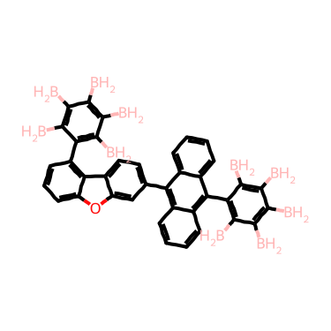 Bc1c(B)c(B)c(-c2c3ccccc3c(-c3ccc4c(c3)oc3cccc(-c5c(B)c(B)c(B)c(B)c5B)c34)c3ccccc23)c(B)c1B